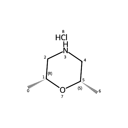 C[C@@H]1CNC[C@H](C)O1.Cl